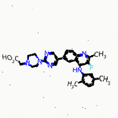 Cc1ccc(C)c(Nc2c(F)c(C)nc3ccc(-c4cnc(N5CCN(CC(=O)O)CC5)nc4)cc23)c1